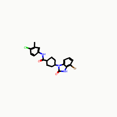 Cc1cc(NC(=O)C2CCC(n3c(=O)[nH]c4c(Br)cccc43)CC2)ccc1Cl